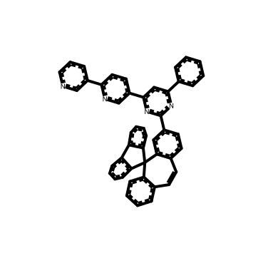 C1=Cc2ccc(-c3nc(-c4ccccc4)cc(-c4ccc(-c5cccnc5)nc4)n3)cc2C2(c3ccccc31)c1ccccc1-c1ccccc12